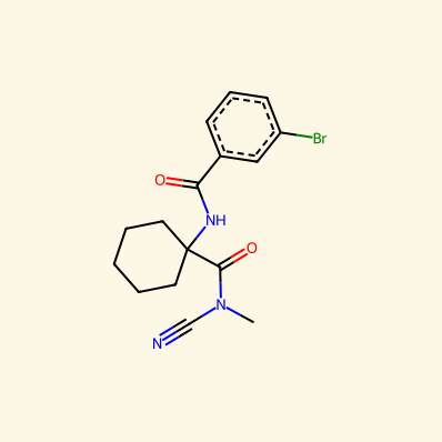 CN(C#N)C(=O)C1(NC(=O)c2cccc(Br)c2)CCCCC1